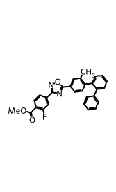 COC(=O)c1ccc(-c2noc(-c3ccc(-c4ccccc4-c4ccccc4)c(C)c3)n2)cc1F